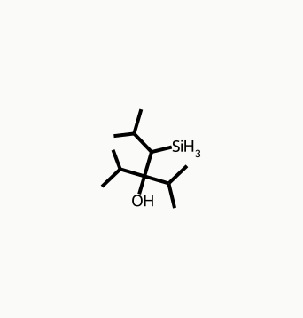 CC(C)C([SiH3])C(O)(C(C)C)C(C)C